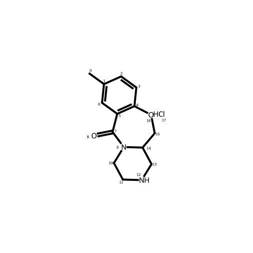 Cc1ccc2c(c1)C(=O)N1CCNCC1CO2.Cl